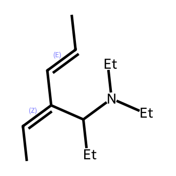 C/C=C(/C=C/C)C(CC)N(CC)CC